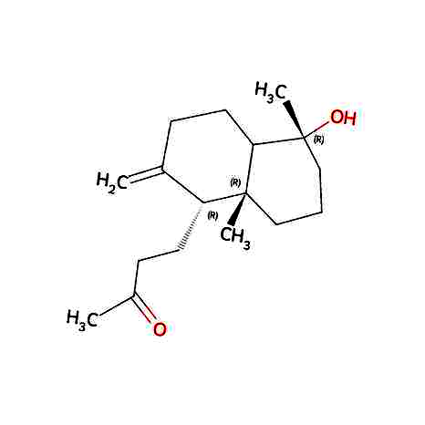 C=C1CCC2[C@](C)(CCC[C@@]2(C)O)[C@@H]1CCC(C)=O